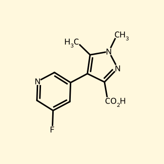 Cc1c(-c2cncc(F)c2)c(C(=O)O)nn1C